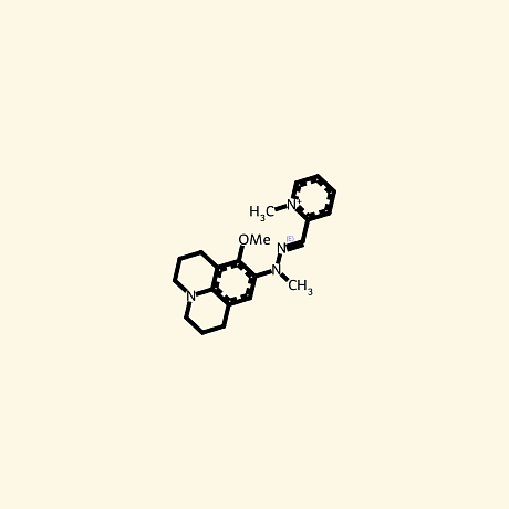 COc1c(N(C)/N=C/c2cccc[n+]2C)cc2c3c1CCCN3CCC2